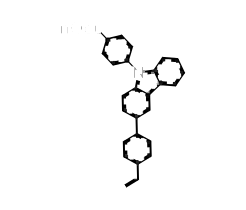 C=Cc1ccc(-c2ccc3c(c2)c2ccccc2n3-c2ccc(CCCCCCCC)cc2)cc1